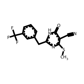 CSc1nc(Cc2cccc(C(F)(F)F)c2)[nH]c(=O)c1C#N